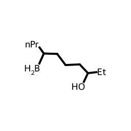 BC(CCC)CCCC(O)CC